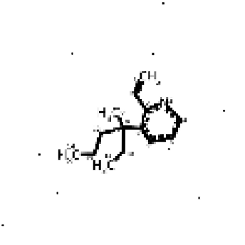 C=Cc1ncccc1C(C)(CC)CCC